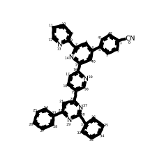 N#Cc1ccc(-c2cc(-c3ccccn3)nc(-c3ccc(-c4cc(-c5ccccc5)nc(-c5ccccc5)n4)cn3)c2)cc1